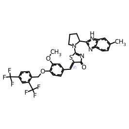 COc1cc(/C=C2\SC(N3CCCC3c3nc4ccc(C)cc4[nH]3)=NC2=O)ccc1OCc1ccc(C(F)(F)F)cc1C(F)(F)F